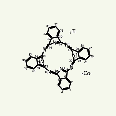 [Co].[Ti].c1ccc2c(c1)-c1nc-2nc2[nH]c(nc3nc(nc4[nH]c(n1)c1ccccc41)-c1ccccc1-3)c1ccccc21